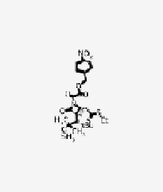 CCSC(=S)S[C@@H]1[C@@H]([C@H](C(C)(C)C)C(C)(C)O[SiH3])C(=O)N1C(=O)C(=O)OCc1ccc([N+](=O)[O-])cc1